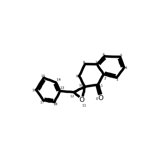 O=C1c2ccccc2CCC12OC2c1ccccc1